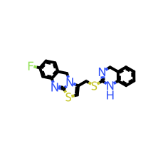 Fc1ccc2c(c1)N=C1SC=C(CSC3=NCc4ccccc4N3)N1C2